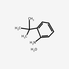 CC(C)(C)c1ccccc1N.O